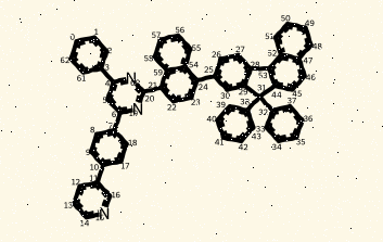 c1ccc(-c2cc(-c3ccc(-c4cccnc4)cc3)nc(-c3ccc(-c4ccc5c(c4)C(c4ccccc4)(c4ccccc4)c4ccc6ccccc6c4-5)c4ccccc34)n2)cc1